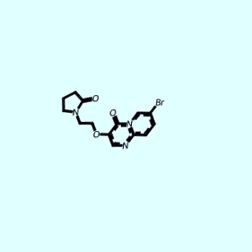 O=C1CCCN1CCOc1cnc2ccc(Br)cn2c1=O